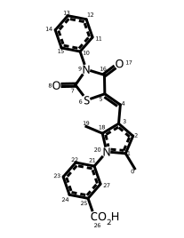 Cc1cc(C=C2SC(=O)N(c3ccccc3)C2=O)c(C)n1-c1cccc(C(=O)O)c1